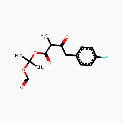 CC(C(=O)Cc1ccc(F)cc1)C(=O)OC(C)(C)OC=O